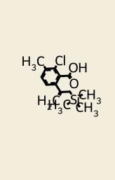 C=C(C[Si](C)(C)C)c1ccc(C)c(Cl)c1C(=O)O